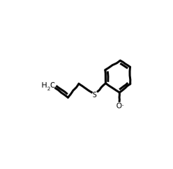 C=CCSc1ccccc1[O]